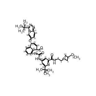 COC1CN(CCNC(=O)c2cc(NC(=O)N[C@@]3(C=O)C=C[C@@H](Oc4ccc5nnc(C(C)(C)C)n5c4)c4ccccc43)cc(C(C)(C)C)n2)C1